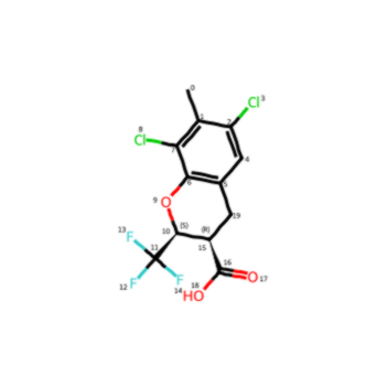 Cc1c(Cl)cc2c(c1Cl)O[C@H](C(F)(F)F)[C@H](C(=O)O)C2